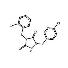 O=C1NN(Cc2ccc(Cl)cc2)C(=O)C1Sc1ccccc1Cl